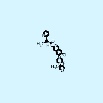 C[C@@H]1[C@@H](C(=O)Nc2cc3cc(N4CCN([C@]5(C)COC[C@@H]5F)CC4)c(Cl)cc3cn2)[C@@H]1c1ccccn1